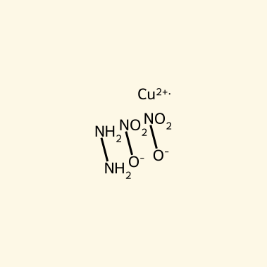 NN.O=[N+]([O-])[O-].O=[N+]([O-])[O-].[Cu+2]